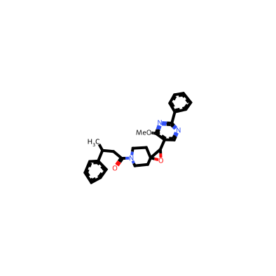 COc1nc(-c2ccccc2)ncc1C1OC12CCN(C(=O)CC(C)c1ccccc1)CC2